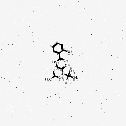 CC(C)C[C@H](NC(=O)c1ccccc1N)C(=O)OC(C)(C)C